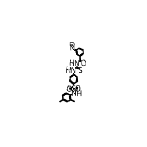 Cc1ccc(NS(=O)(=O)c2ccc(NC(=S)NC(=O)c3cccc(N=O)c3)cc2)c(C)c1